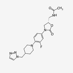 CC(=O)NC[C@H]1CN(c2ccc(N3CCC(Cn4ccnn4)CC3)c(F)c2)C(=O)O1